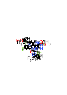 Cn1nc(NS(C)(=O)=O)c2cccc(-c3ccc(C#CC(C)(C)CO)nc3[C@H](Cc3cc(F)cc(F)c3)NC(=O)Cn3nc(C(F)(F)F)c4c3C(F)(F)[C@@H]3C[C@H]43)c21